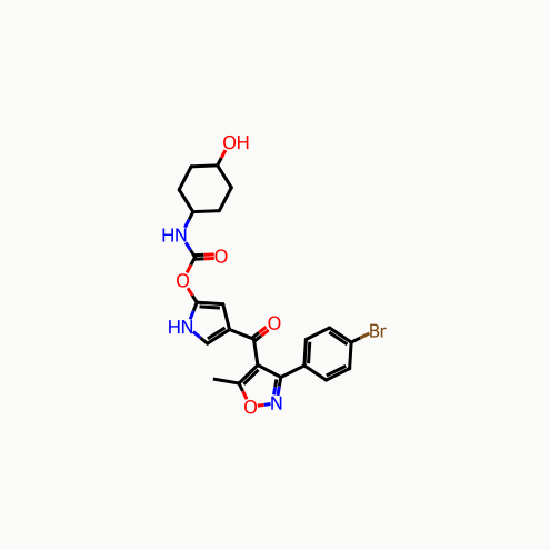 Cc1onc(-c2ccc(Br)cc2)c1C(=O)c1c[nH]c(OC(=O)NC2CCC(O)CC2)c1